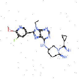 CCn1c(-c2cnc(OC)c(F)c2)nc2c(NC3CCC(=N)N(C(=N)C4CC4)C3)ncnc21